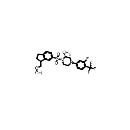 C[C@H]1CN(c2ccc(C(F)(F)F)c(F)c2)CCN1S(=O)(=O)c1ccc2c(c1)C(COO)CC2